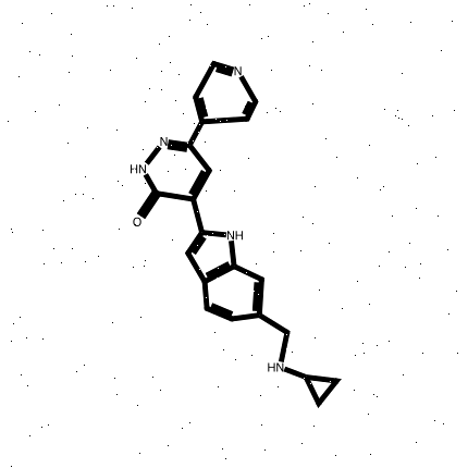 O=c1[nH]nc(-c2ccncc2)cc1-c1cc2ccc(CNC3CC3)cc2[nH]1